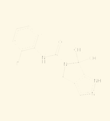 CC1(C)c2[nH]ncc2CN1C(=O)Nc1ccccc1F